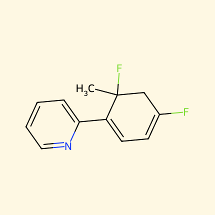 CC1(F)CC(F)=CC=C1c1ccccn1